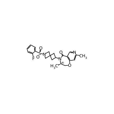 Cc1cc2c(cn1)C(=O)N(C1CC3(C1)CN(S(=O)(=O)c1ccccc1F)C3)[C@H](C)CO2